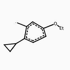 [CH2]c1cc(OCC)ccc1C1CC1